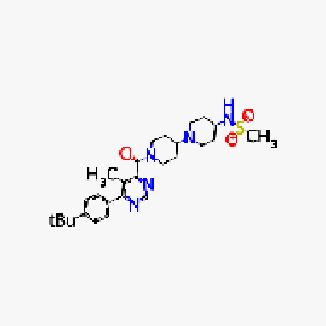 Cc1c(C(=O)N2CCC(N3CCC(NS(C)(=O)=O)CC3)CC2)ncnc1-c1ccc(C(C)(C)C)cc1